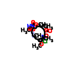 CCC1CC(OC=O)CC(=O)N(C)c2cc(cc(OC)c2Cl)C/C(C)=C/C=C/C(OC)C2(O)CC(OC(=O)N2)C1C